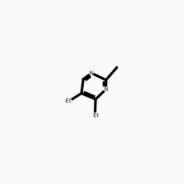 CCc1[c]nc(C)nc1CC